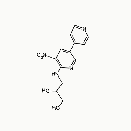 O=[N+]([O-])c1cc(-c2ccncc2)cnc1NCC(O)CO